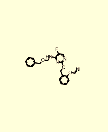 N=COc1ccccc1COc1ncc(F)c(NCOCc2ccccc2)n1